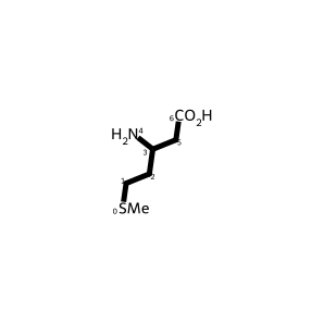 CSCCC(N)CC(=O)O